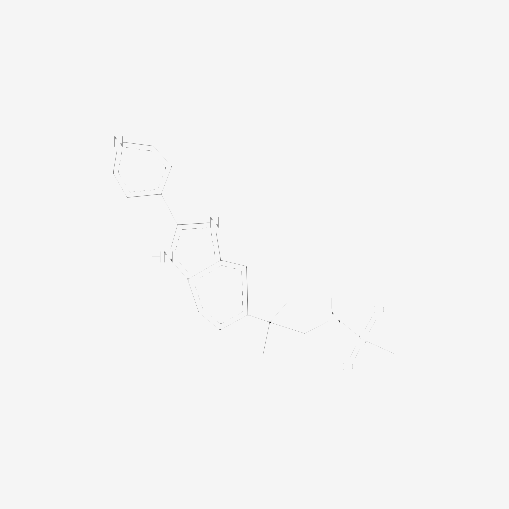 CC(C)(CNS(C)(=O)=O)c1ccc2[nH]c(-c3ccncc3)nc2c1